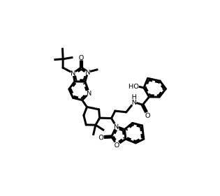 Cn1c(=O)n(CC(C)(C)C)c2ccc(C3CCC(C)(C)C(C(CCNC(=O)c4ccccc4O)n4c(=O)oc5ccccc54)C3)nc21